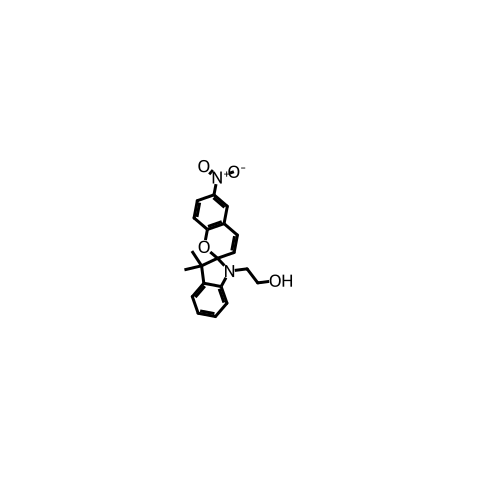 CC1(C)c2ccccc2N(CCO)C12C=Cc1cc([N+](=O)[O-])ccc1O2